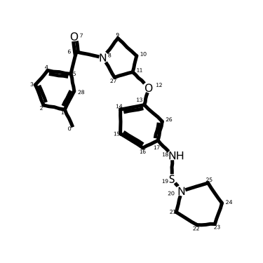 Cc1cccc(C(=O)N2CCC(Oc3cccc(NSN4CCCCC4)c3)C2)c1